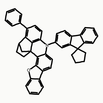 c1ccc(-c2ccc3c4c2C2CCC4(C2)c2c(ccc4c2oc2ccccc24)N3c2ccc3c(c2)C2(CCCC2)c2ccccc2-3)cc1